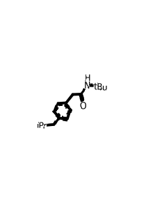 CC(C)Cc1ccc(CC(=O)NC(C)(C)C)cc1